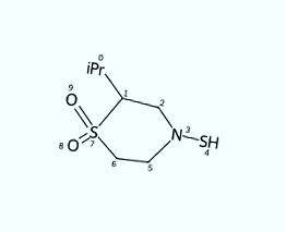 CC(C)C1CN(S)CCS1(=O)=O